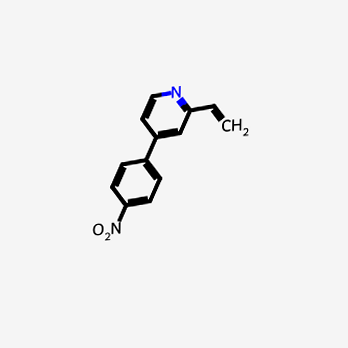 C=Cc1cc(-c2ccc([N+](=O)[O-])cc2)ccn1